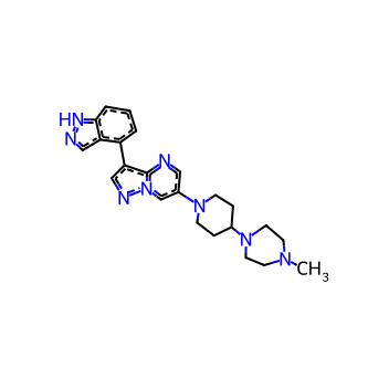 CN1CCN(C2CCN(c3cnc4c(-c5cccc6[nH]ncc56)cnn4c3)CC2)CC1